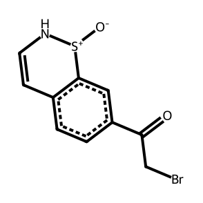 O=C(CBr)c1ccc2c(c1)[S+]([O-])NC=C2